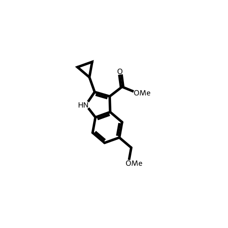 COCc1ccc2[nH]c(C3CC3)c(C(=O)OC)c2c1